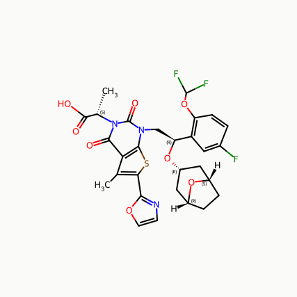 Cc1c(-c2ncco2)sc2c1c(=O)n([C@@H](C)C(=O)O)c(=O)n2C[C@H](O[C@H]1C[C@H]2CC[C@@H](C1)O2)c1cc(F)ccc1OC(F)F